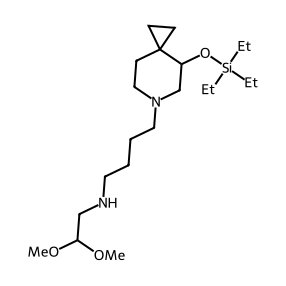 CC[Si](CC)(CC)OC1CN(CCCCNCC(OC)OC)CCC12CC2